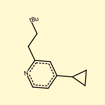 CC(C)(C)CCc1cc(C2CC2)ccn1